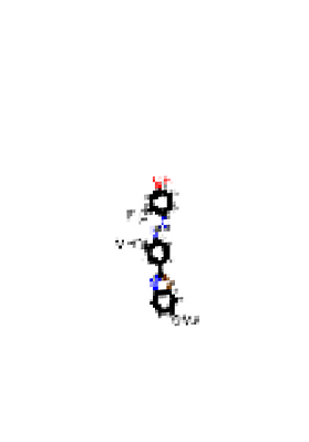 COc1ccc2nc(-c3ccc(N=Nc4ccc(O)cc4C(F)(F)F)c(OC)c3)sc2c1